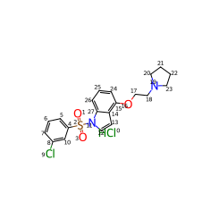 Cl.O=S(=O)(c1cccc(Cl)c1)n1ccc2c(OCCN3CCCC3)cccc21